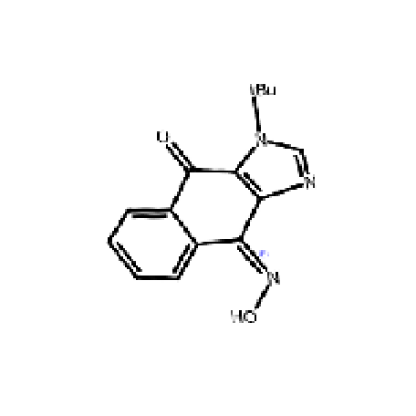 CC(C)(C)n1cnc2c1C(=O)c1ccccc1/C2=N\O